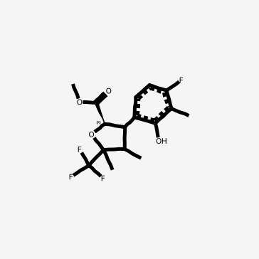 COC(=O)[C@@H]1OC(C)(C(F)(F)F)C(C)C1c1ccc(F)c(C)c1O